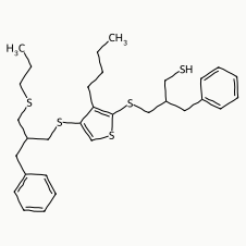 CCCCc1c(SCC(CSCCC)Cc2ccccc2)csc1SCC(CS)Cc1ccccc1